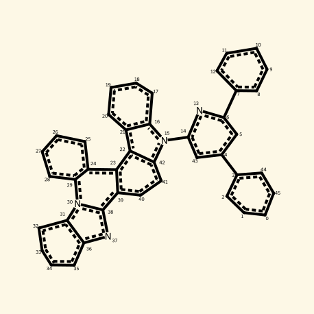 c1ccc(-c2cc(-c3ccccc3)nc(-n3c4ccccc4c4c5c6ccccc6n6c7ccccc7nc6c5ccc43)c2)cc1